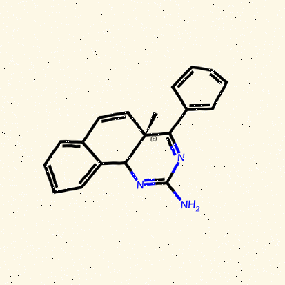 C[C@]12C=Cc3ccccc3C1N=C(N)N=C2c1ccccc1